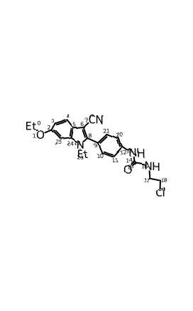 CCOc1ccc2c(C#N)c(-c3ccc(NC(=O)NCCCl)cc3)n(CC)c2c1